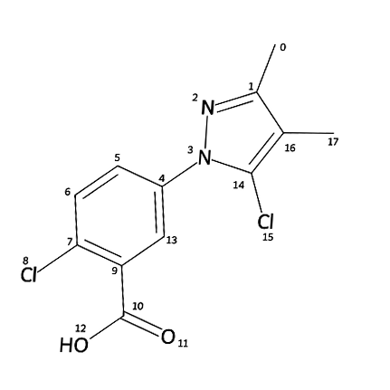 Cc1nn(-c2ccc(Cl)c(C(=O)O)c2)c(Cl)c1C